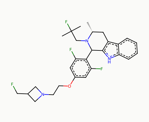 C[C@@H]1Cc2c([nH]c3ccccc23)C(c2c(F)cc(OCCN3CC(CF)C3)cc2F)N1CC(C)(C)F